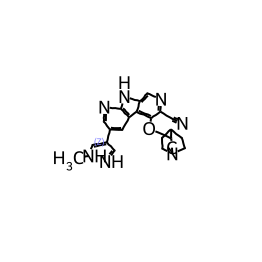 CN/C=C(\C=N)c1cnc2[nH]c3cnc(C#N)c(OC4CN5CCC4CC5)c3c2c1